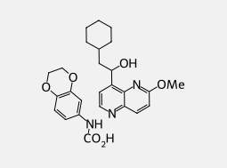 COc1ccc2nccc(C(O)CC3CCCCC3)c2n1.O=C(O)Nc1ccc2c(c1)OCCO2